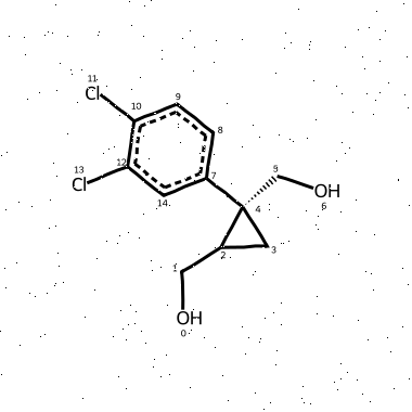 OCC1C[C@]1(CO)c1ccc(Cl)c(Cl)c1